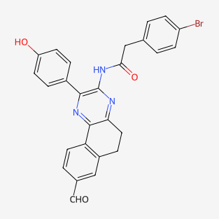 O=Cc1ccc2c(c1)CCc1nc(NC(=O)Cc3ccc(Br)cc3)c(-c3ccc(O)cc3)nc1-2